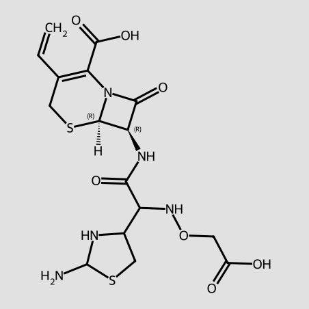 C=CC1=C(C(=O)O)N2C(=O)[C@@H](NC(=O)C(NOCC(=O)O)C3CSC(N)N3)[C@H]2SC1